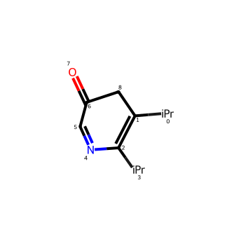 CC(C)C1=C(C(C)C)N=CC(=O)C1